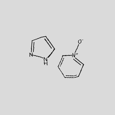 [O-][n+]1ccccc1.c1cn[nH]c1